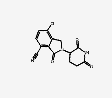 N#Cc1ccc(Cl)c2c1C(=O)N(C1CCC(=O)NC1=O)C2